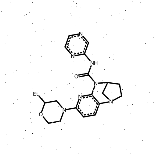 CCC1CN(c2ccc3c(n2)N(C(=O)Nc2cnccn2)C2CCN3C2)CCO1